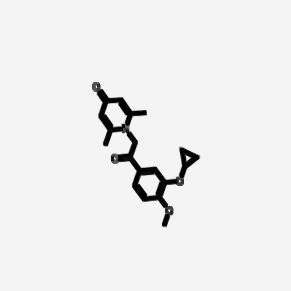 COc1ccc(C(=O)Cn2c(C)cc(=O)cc2C)cc1OC1CC1